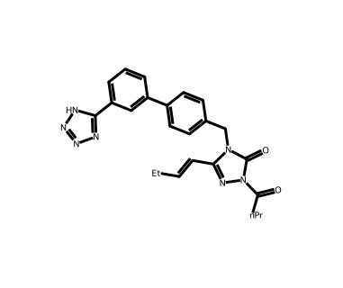 CCC=Cc1nn(C(=O)CCC)c(=O)n1Cc1ccc(-c2cccc(-c3nnn[nH]3)c2)cc1